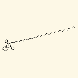 CCCCCCCCCCCCCCCCCCCCCCCCCCCCCCN1C(=O)C2C3C=CC(C3)C2C1=O